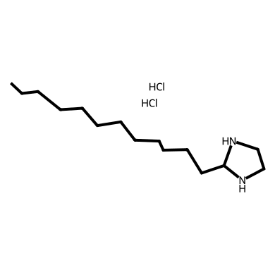 CCCCCCCCCCCCC1NCCN1.Cl.Cl